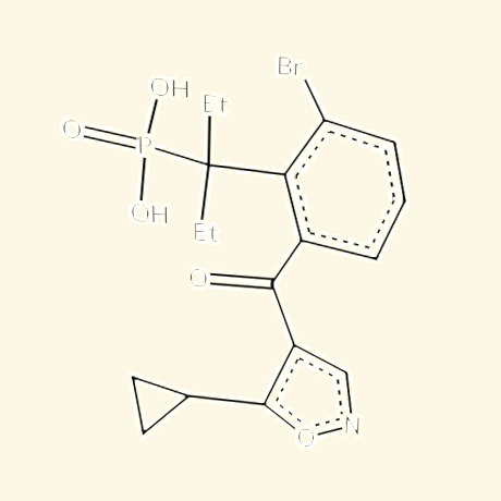 CCC(CC)(c1c(Br)cccc1C(=O)c1cnoc1C1CC1)P(=O)(O)O